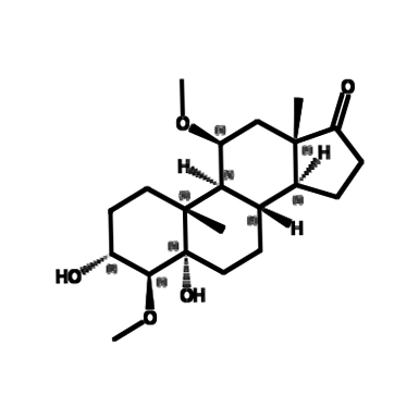 CO[C@H]1C[C@]2(C)C(=O)CC[C@H]2[C@@H]2CC[C@@]3(O)[C@@H](OC)[C@H](O)CC[C@]3(C)[C@H]21